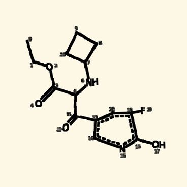 CCOC(=O)C(NC1CCC1)C(=O)c1cnc(O)c(F)c1